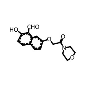 O=Cc1c(O)ccc2ccc(OCC(=O)N3CCOCC3)cc12